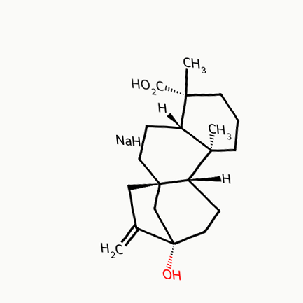 C=C1C[C@@]23CC[C@H]4[C@@](C)(CCC[C@@]4(C)C(=O)O)[C@@H]2CC[C@]1(O)C3.[NaH]